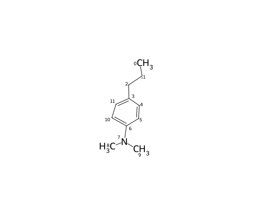 C[CH]Cc1ccc(N(C)C)cc1